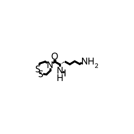 NCCCC[C@H](NI)C(=O)N1CCSSCC1